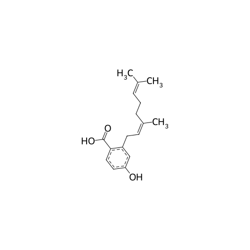 CC(C)=CCCC(C)=CCc1cc(O)ccc1C(=O)O